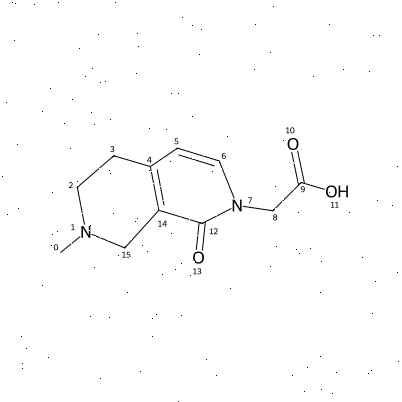 CN1CCc2ccn(CC(=O)O)c(=O)c2C1